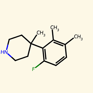 Cc1ccc(F)c(C2(C)CCNCC2)c1C